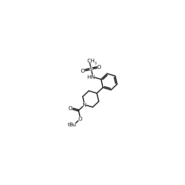 CC(C)(C)OC(=O)N1CCC(c2ccccc2NS(C)(=O)=O)CC1